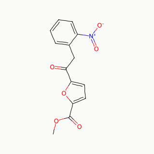 COC(=O)c1ccc(C(=O)Cc2ccccc2[N+](=O)[O-])o1